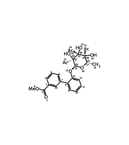 COC(=O)c1cccc(-c2ccccc2O[C@@H]2O[C@@H](C)[C@](O)(C(C)=O)[C@](O)(C(C)=O)[C@@]2(O)C(C)=O)c1